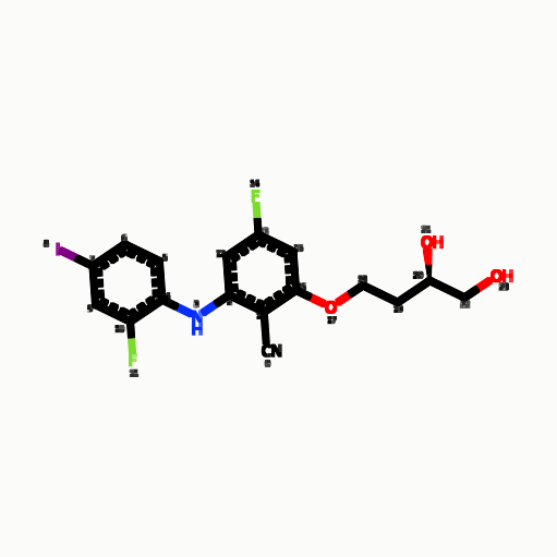 N#Cc1c(Nc2ccc(I)cc2F)cc(F)cc1OCC[C@@H](O)CO